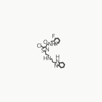 O=C(NCc1ncccc1F)c1nc(CCNCCc2nc3ccccc3[nH]2)sc1Cl